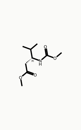 COC(=O)C[C@@H](NC(=O)OC)C(C)C